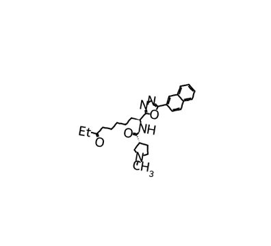 CCC(=O)CCCCC[C@H](NC(=O)[C@@H]1CCN(C)C1)c1nnc(-c2ccc3ccccc3c2)o1